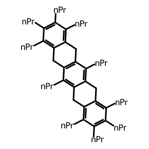 CCCc1c(CCC)c(CCC)c2c(c1CCC)Cc1c(CCC)c3c(c(CCC)c1C2)Cc1c(CCC)c(CCC)c(CCC)c(CCC)c1C3